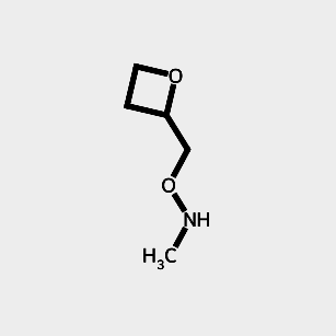 CNOCC1CCO1